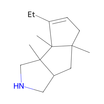 CCC1=CCC2(C)CC3CNCC3(C)C12C